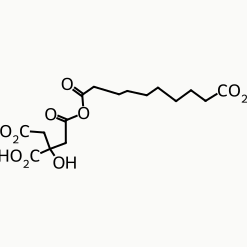 O=C(O)CCCCCCCCC(=O)OC(=O)CC(O)(CC(=O)O)C(=O)O